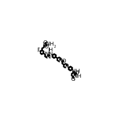 NS(=O)(=O)CCCc1cc(-c2ccnc(Nc3ccc(C4CCN(C(=O)CC5CCN(c6ccc(NC7CCC(=O)NC7=O)cc6)CC5)CC4)cc3)n2)ccc1F